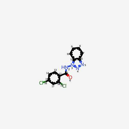 O=C(Nn1nnc2ccccc21)c1ccc(Cl)cc1Cl